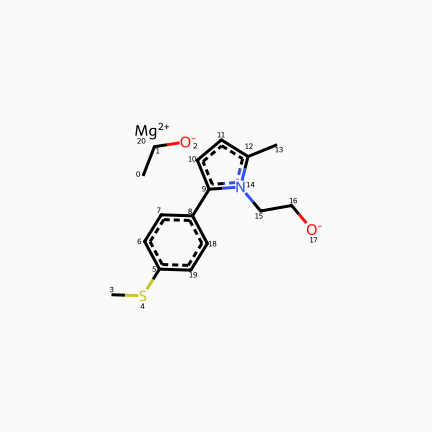 CC[O-].CSc1ccc(-c2ccc(C)n2CC[O-])cc1.[Mg+2]